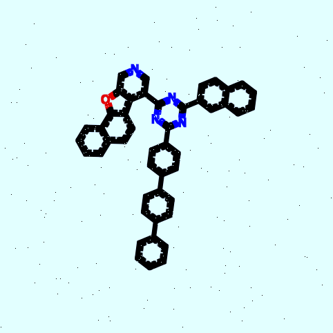 c1ccc(-c2ccc(-c3ccc(-c4nc(-c5ccc6ccccc6c5)nc(-c5cncc6oc7c8ccccc8ccc7c56)n4)cc3)cc2)cc1